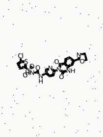 O=C(Nc1ccc(-n2c(=O)[nH]c3cc(C4=NCCO4)ccc3c2=O)nc1)NS(=O)(=O)c1ccc(Cl)s1